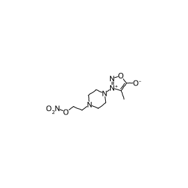 Cc1c([O-])on[n+]1N1CCN(CCO[N+](=O)[O-])CC1